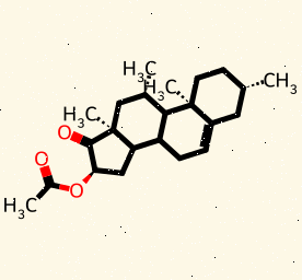 CC(=O)O[C@@H]1CC2C3CC=C4C[C@@H](C)CC[C@]4(C)C3[C@@H](C)C[C@]2(C)C1=O